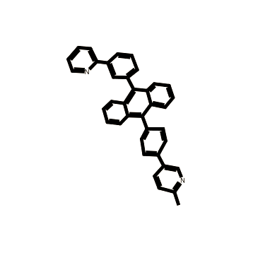 Cc1ccc(-c2ccc(-c3c4ccccc4c(-c4cccc(-c5ccccn5)c4)c4ccccc34)cc2)cn1